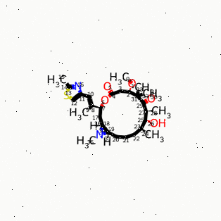 CO[C@H]1CC(=O)O[C@H](/C(C)=C/c2csc(C)n2)C[C@H]2[C@@H](CCC[C@H](C)[C@H](O)[C@@H](C)C(=O)C1(C)C)N2C